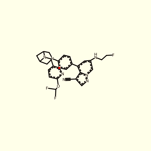 N#Cc1cnn2cc(NCCF)cc(-c3ccc(N4CC5CC(C4)N5Cc4ccc(OC(F)F)nc4)nc3)c12